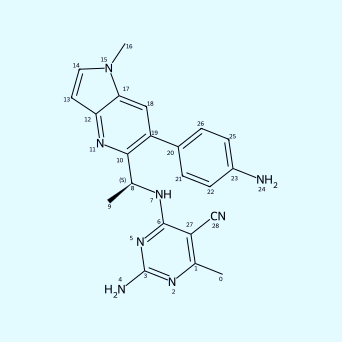 Cc1nc(N)nc(N[C@@H](C)c2nc3ccn(C)c3cc2-c2ccc(N)cc2)c1C#N